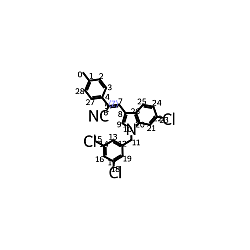 Cc1ccc(/C(C#N)=C/c2cn(Cc3cc(Cl)cc(Cl)c3)c3cc(Cl)ccc23)cc1